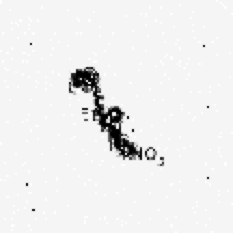 CCN(CCCCCC(=O)ON1C(=O)CCC1=O)c1ccc(N=Nc2nc3ccc([N+](=O)[O-])cc3s2)c2ccccc12